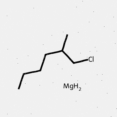 CCCCC(C)CCl.[MgH2]